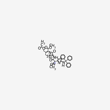 CO/N=C(\C(=O)N[C@@H]1C(=O)N2C(C(=O)OC)=C(COC(C)=O)CS[C@H]12)c1csc(NC(c2ccccc2)(c2ccccc2)c2ccccc2)n1